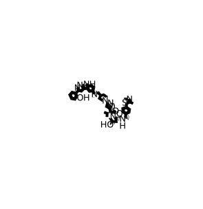 Cc1ncsc1-c1ccc([C@H](C)NC(=O)[C@@H]2C[C@@H](O)CN2C(=O)[C@@H](c2cc(N3CCC(CN(C)c4ccc5[nH]c6nnc(-c7ccccc7O)cc6c5c4)CC3)no2)C(C)C)cc1